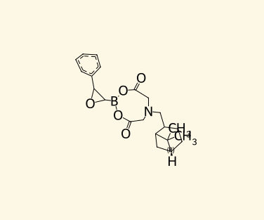 CC1(C)C2C[C@H]1CCC2CN1CC(=O)OB(C2OC2c2ccccc2)OC(=O)C1